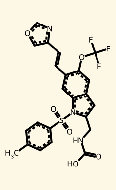 Cc1ccc(S(=O)(=O)n2c(CNC(=O)O)cc3cc(OC(F)(F)F)c(/C=C/c4cocn4)cc32)cc1